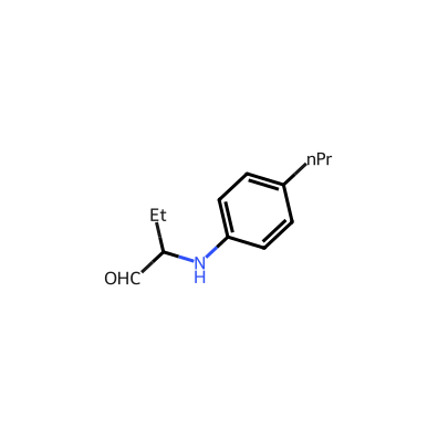 [CH2]CCc1ccc(NC(C=O)CC)cc1